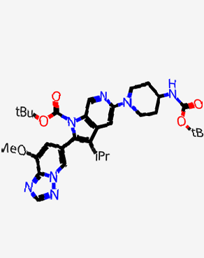 COc1cc(-c2c(C(C)C)c3cc(N4CCC(NC(=O)OC(C)(C)C)CC4)ncc3n2C(=O)OC(C)(C)C)cn2ncnc12